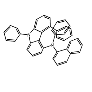 c1ccc(-c2cccc3c2c2c(N(c4ccccc4)c4cccc5ccccc45)cccc2n3-c2ccccc2)cc1